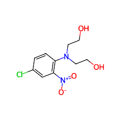 O=[N+]([O-])c1cc(Cl)ccc1N(CCO)CCO